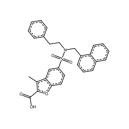 Cc1c(C(=O)O)oc2ccc(S(=O)(=O)N(CCc3ccccc3)Cc3cccc4ccccc34)cc12